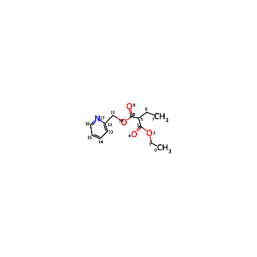 CCOC(=O)C(CC)C(=O)OCc1ccccn1